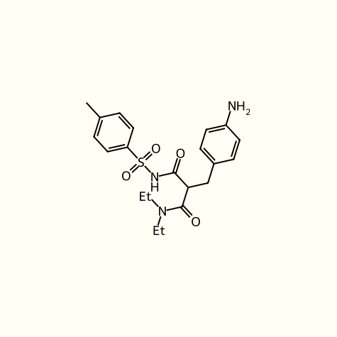 CCN(CC)C(=O)C(Cc1ccc(N)cc1)C(=O)NS(=O)(=O)c1ccc(C)cc1